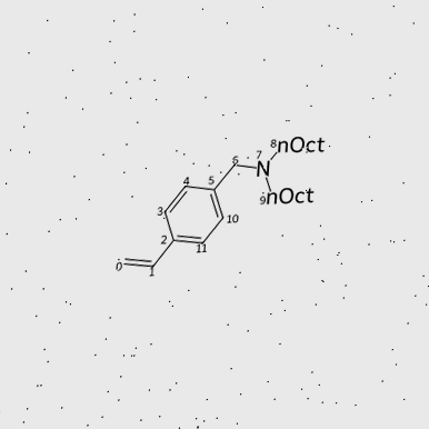 C=Cc1ccc(CN(CCCCCCCC)CCCCCCCC)cc1